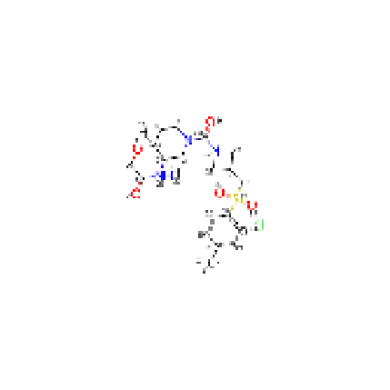 O=C1CO[C@H]2CCN(C(=O)N3CC(CS(=O)(=O)c4ccc(C(F)(F)F)cc4Cl)C3)C[C@H]2N1